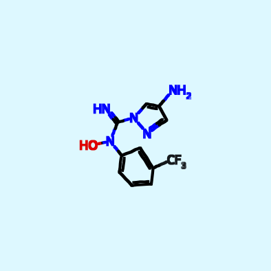 N=C(N(O)c1cccc(C(F)(F)F)c1)n1cc(N)cn1